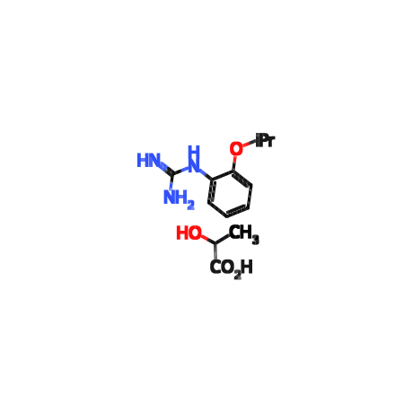 CC(C)Oc1ccccc1NC(=N)N.CC(O)C(=O)O